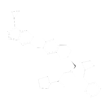 O=C(CN(C[C@@H](c1ccccc1)C1CCC1)C(=O)[C@@H]1CCc2cc(F)c(Oc3ccn4c(C5CC5)ncc4n3)cc2O1)N1CCCC1